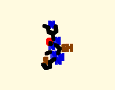 CCn1c(-c2cccs2)nnc1C(S)c1noc(-c2ccnc(C)c2)n1